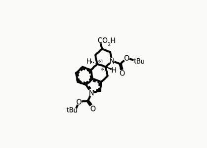 CC(C)(C)OC(=O)N1CC(C(=O)O)C[C@@H]2c3cccc4c3c(cn4C(=O)OC(C)(C)C)C[C@H]21